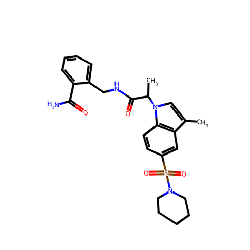 Cc1cn(C(C)C(=O)NCc2ccccc2C(N)=O)c2ccc(S(=O)(=O)N3CCCCC3)cc12